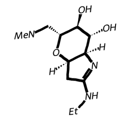 CCNC1=N[C@@H]2[C@@H](O)[C@H](O)[C@@H](CNC)O[C@@H]2C1